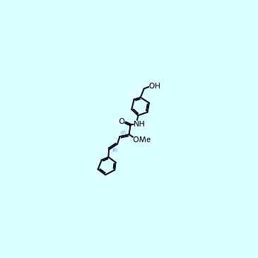 CO/C(=C\C=C\c1ccccc1)C(=O)Nc1ccc(CO)cc1